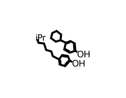 CC(C)CCCCCc1ccc(O)cc1.Oc1ccc(C2CCCCC2)cc1